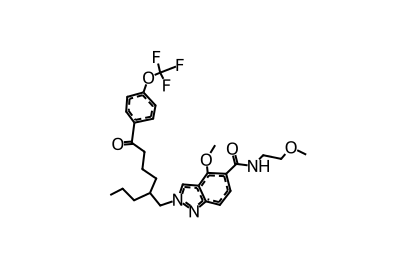 CCCC(CCCC(=O)c1ccc(OC(F)(F)F)cc1)Cn1cc2c(OC)c(C(=O)NCCOC)ccc2n1